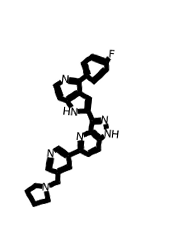 Fc1ccc(-c2nccc3[nH]c(-c4n[nH]c5ccc(-c6cncc(CN7CCCC7)c6)nc45)cc23)cc1